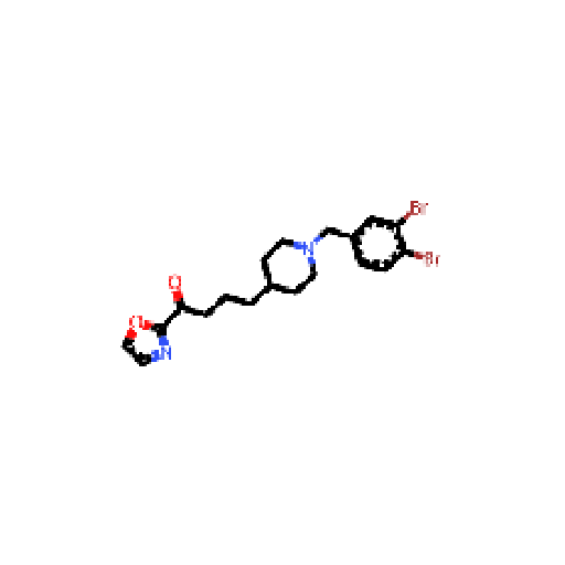 O=C(CCCC1CCN(Cc2ccc(Br)c(Br)c2)CC1)c1ncco1